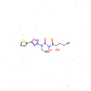 CC(C)CC[C@H](O)C(=O)N(O)C(=O)N(CC(C)(C)C)c1noc(-c2cccs2)n1